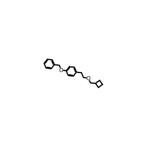 c1ccc(COc2ccc(CCOCC3CCC3)cc2)cc1